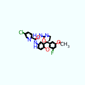 COc1cc(F)c2c(c1)[C@]1(CCN=C(N)O1)c1cc(NC(=O)c3ccc(Cl)cn3)ccc1O2